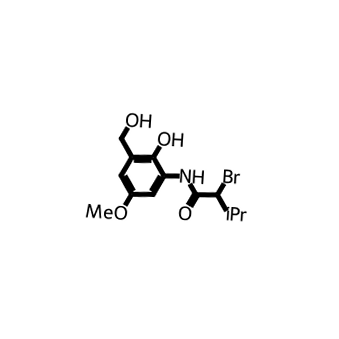 COc1cc(CO)c(O)c(NC(=O)C(Br)C(C)C)c1